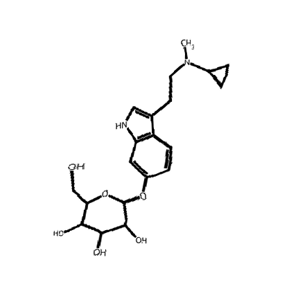 CN(CCc1c[nH]c2cc(OC3OC(CO)C(O)C(O)C3O)ccc12)C1CC1